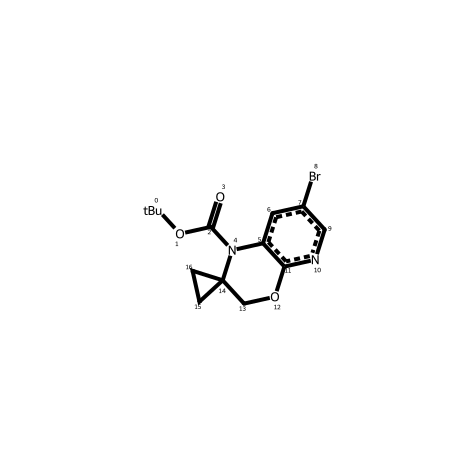 CC(C)(C)OC(=O)N1c2cc(Br)cnc2OCC12CC2